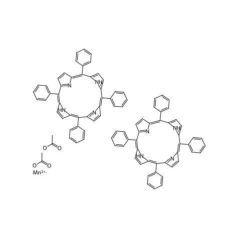 C1=Cc2nc1c(-c1ccccc1)c1ccc([nH]1)c(-c1ccccc1)c1nc(c(-c3ccccc3)c3ccc([nH]3)c2-c2ccccc2)C=C1.C1=Cc2nc1c(-c1ccccc1)c1ccc([nH]1)c(-c1ccccc1)c1nc(c(-c3ccccc3)c3ccc([nH]3)c2-c2ccccc2)C=C1.CC(=O)[O-].CC(=O)[O-].[Mn+2]